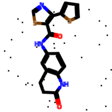 O=C1CCc2cc(NC(=O)c3scnc3-c3cccs3)ccc2N1